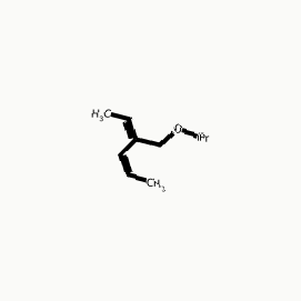 C/C=C\C(=C/C)COC(C)C